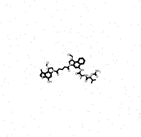 Cc1csc2c(O)cc3c(c12)[C@H](CCl)CN3C(=O)CCCC(=O)N1C[C@@H](CCl)c2c1cc(NC(=O)[C@H](C)NC(=O)[C@@H](OC(N)=O)C(C)C)c1ccccc21